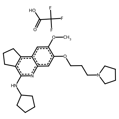 COc1cc2c3c(c(NC4CCCC4)nc2cc1OCCCN1CCCC1)CCC3.O=C(O)C(F)(F)F